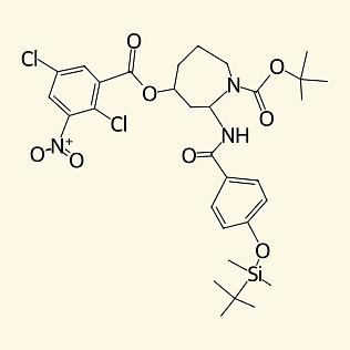 CC(C)(C)OC(=O)N1CCCC(OC(=O)c2cc(Cl)cc([N+](=O)[O-])c2Cl)CC1NC(=O)c1ccc(O[Si](C)(C)C(C)(C)C)cc1